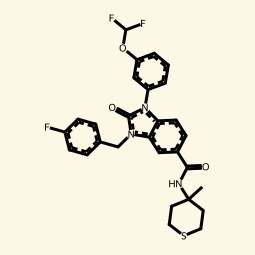 CC1(NC(=O)c2ccc3c(c2)n(Cc2ccc(F)cc2)c(=O)n3-c2cccc(OC(F)F)c2)CCSCC1